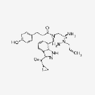 C=CCN(N)[C@H](N)CN(Cc1cccc2c(C(=O)C3CC3)n[nH]c12)C(=O)CCc1ccc(O)cc1